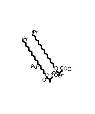 C=C(CC(=O)[O-])C(=O)OCCCCCCCCCCCCCCCC(C)C.C=C(CC(=O)[O-])C(=O)OCCCCCCCCCCCCCCCC(C)C.[Pd+2]